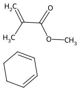 C1=CCCC=C1.C=C(C)C(=O)OC